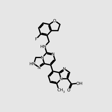 Cc1ccc(C2=CN=C(NCc3c(F)ccc4c3CCO4)N3CNN=C23)c2ncc(C(=O)O)n12